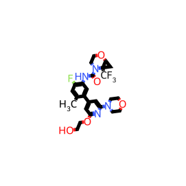 Cc1cc(F)c(NC(=O)N2CCOC3CC32C(F)(F)F)cc1-c1cc(OCCO)nc(N2CCOCC2)c1